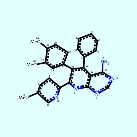 COc1ccc(-c2nc3ncnc(N)c3c(-c3ccccc3)c2-c2ccc(OC)c(OC)c2)nc1